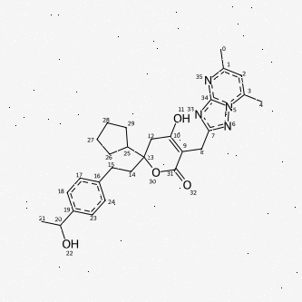 Cc1cc(C)n2nc(CC3=C(O)CC(CCc4ccc(C(C)O)cc4)(C4CCCC4)OC3=O)nc2n1